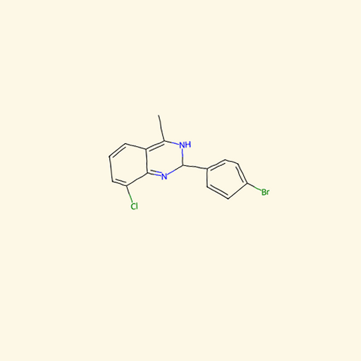 CC1=c2cccc(Cl)c2=NC(c2ccc(Br)cc2)N1